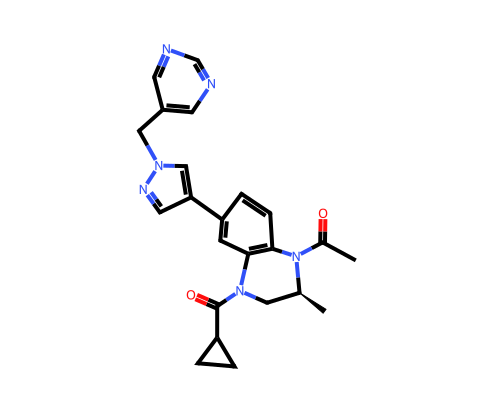 CC(=O)N1c2ccc(-c3cnn(Cc4cncnc4)c3)cc2N(C(=O)C2CC2)C[C@@H]1C